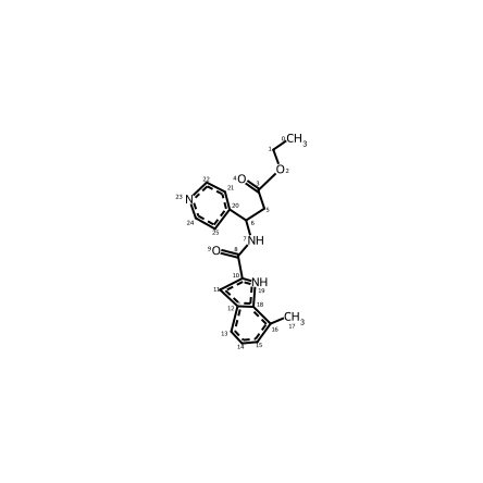 CCOC(=O)CC(NC(=O)c1cc2cccc(C)c2[nH]1)c1ccncc1